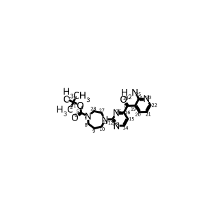 CC(C)(C)OC(=O)N1CCCN(c2nccc(C(=O)c3cccnc3N)n2)CC1